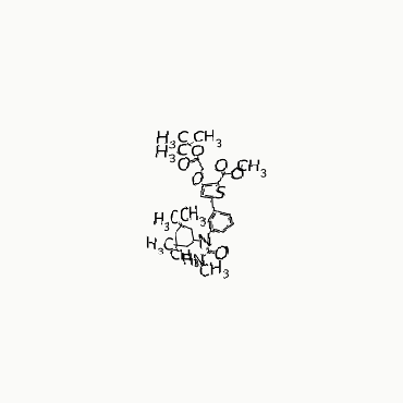 CNC(=O)N(c1cccc(-c2cc(OCC(=O)OC(C)(C)C)c(C(=O)OC)s2)c1)C1CC(C)(C)CC(C)(C)C1